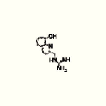 N=C(N)NCc1ccc2cccc(O)c2n1